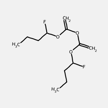 C=C(OC(=C)OC(F)CCC)OC(F)CCC